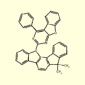 CC1(C)c2ccccc2-c2c1ccc1c3ccccc3n(-c3nc(-c4ccccc4)c4c(n3)oc3ccccc34)c21